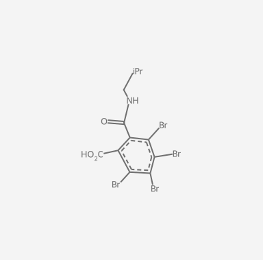 CC(C)CNC(=O)c1c(Br)c(Br)c(Br)c(Br)c1C(=O)O